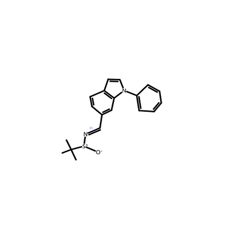 CC(C)(C)[S+]([O-])/N=C/c1ccc2ccn(-c3ccccc3)c2c1